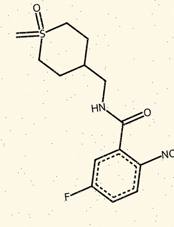 C=S1(=O)CCC(CNC(=O)c2cc(F)ccc2[N+](=O)[O-])CC1